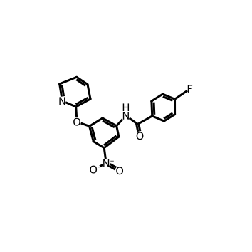 O=C(Nc1cc(Oc2ccccn2)cc([N+](=O)[O-])c1)c1ccc(F)cc1